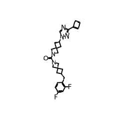 O=C(N1CC2(CC(Cc3ccc(F)cc3F)C2)C1)N1CC2(CC(n3cnc(C4CCC4)n3)C2)C1